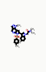 COc1ccc2c(c1)c(-c1cc3c4c(cnc3n1S(=O)(=O)c1ccc(C)cc1)cnn4C)cn2CC(=O)N(C)C